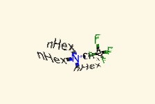 CCCCCC[N+](C)(CCCCCC)CCCCCC.F[B-](F)(F)F